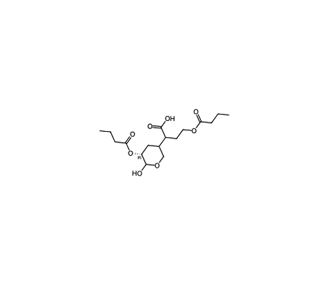 CCCC(=O)OCCC(C(=O)O)C1COC(O)[C@H](OC(=O)CCC)C1